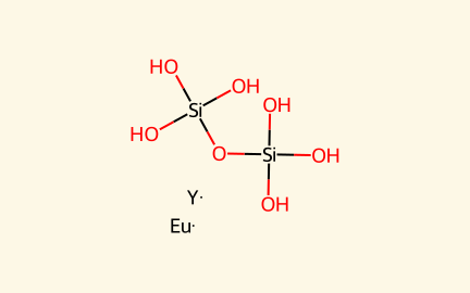 O[Si](O)(O)O[Si](O)(O)O.[Eu].[Y]